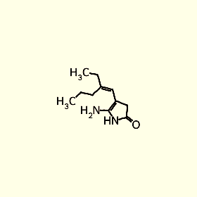 CCC/C(=C\C1=C(N)NC(=O)C1)CC